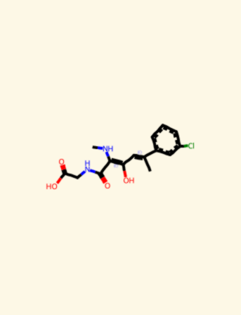 CN/C(C(=O)NCC(=O)O)=C(O)\C=C(/C)c1cccc(Cl)c1